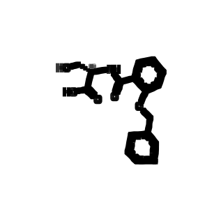 O=C(N[C@@H](CO)C(=O)O)c1ccccc1OCc1ccccc1